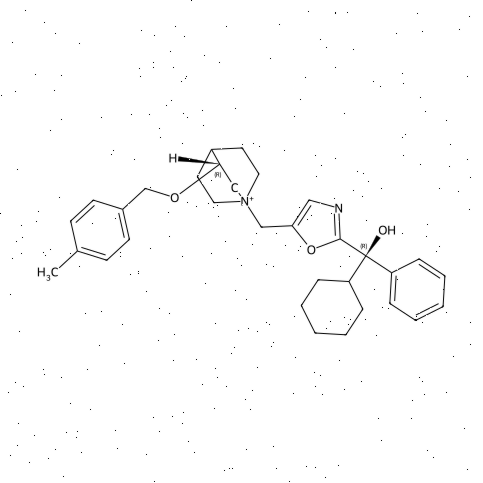 Cc1ccc(CO[C@H]2C[N+]3(Cc4cnc([C@](O)(c5ccccc5)C5CCCCC5)o4)CCC2CC3)cc1